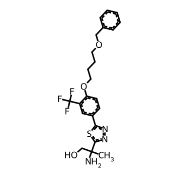 CC(N)(CO)c1nnc(-c2ccc(OCCCCOCc3ccccc3)c(C(F)(F)F)c2)s1